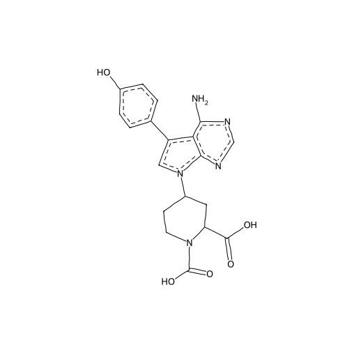 Nc1ncnc2c1c(-c1ccc(O)cc1)cn2C1CCN(C(=O)O)C(C(=O)O)C1